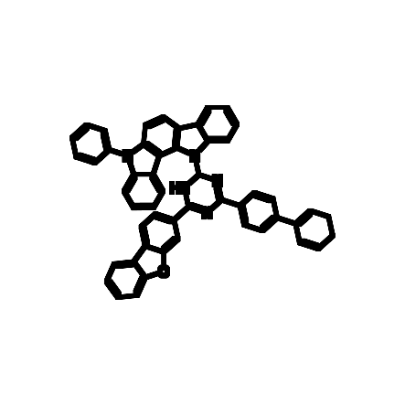 C1=CC(c2ccc(C3=NC(n4c5ccccc5c5ccc6c(c7ccccc7n6-c6ccccc6)c54)NC(c4ccc5c(c4)oc4ccccc45)=N3)cc2)=CCC1